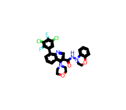 O=C(NN1CCOc2ccccc21)c1cnc2c(-c3cc(Cl)c(F)c(Cl)c3F)cccc2c1N1CCOCC1